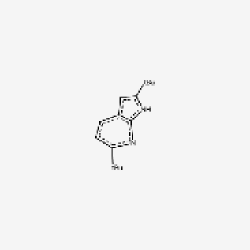 CC(C)(C)c1ccc2cc(C(C)(C)C)[nH]c2n1